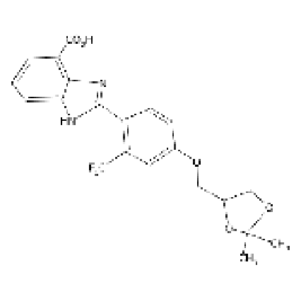 CC1(C)OCC(COc2ccc(-c3nc4c(C(=O)O)cccc4[nH]3)c(C(F)(F)F)c2)O1